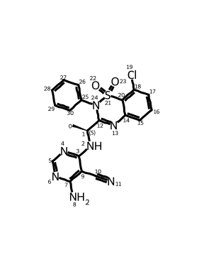 C[C@H](Nc1ncnc(N)c1C#N)C1=Nc2cccc(Cl)c2S(=O)(=O)N1c1ccccc1